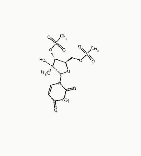 C[C@@]1(O)C(n2ccc(=O)[nH]c2=O)O[C@H](COS(C)(=O)=O)[C@H]1OS(C)(=O)=O